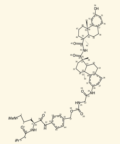 CNCCC[C@H](NC(=O)CC(C)C)C(=O)Nc1ccc(COC(=O)NCC(=O)Nc2ccc3c(c2)[C@@]2(C)CCC[C@](C)(C(=O)NC(=O)[C@@]4(C)CCC[C@]5(C)c6cc(O)ccc6CCC45)C2CC3)cc1